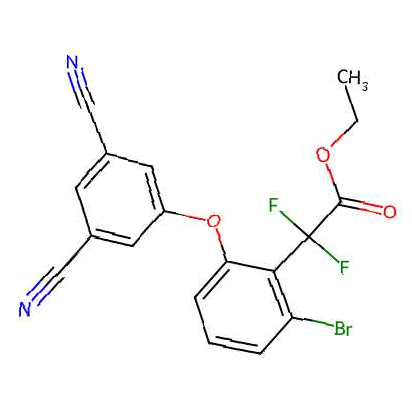 CCOC(=O)C(F)(F)c1c(Br)cccc1Oc1cc(C#N)cc(C#N)c1